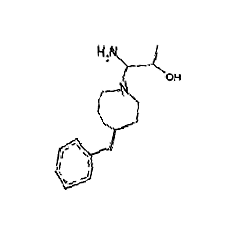 CC(O)C(N)N1CCC(Cc2ccccc2)CC1